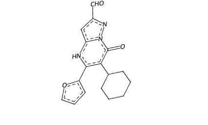 O=Cc1cc2[nH]c(-c3ccco3)c(C3CCCCC3)c(=O)n2n1